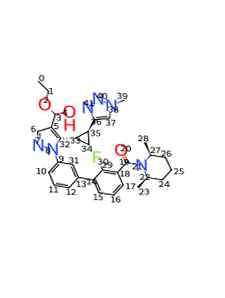 CCOC(O)c1cnn(-c2cccc(-c3cccc(C(=O)N4[C@H](C)CCC[C@@H]4C)c3F)c2)c1[C@H]1C[C@@H]1c1cn(C)nn1